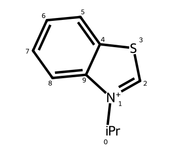 CC(C)[n+]1csc2ccccc21